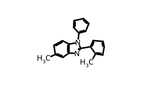 Cc1ccc2c(c1)nc(-c1ccccc1C)n2-c1ccccc1